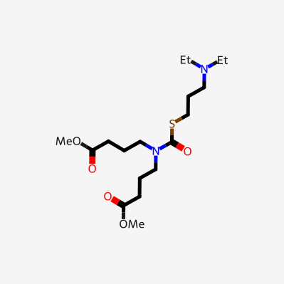 CCN(CC)CCCSC(=O)N(CCCC(=O)OC)CCCC(=O)OC